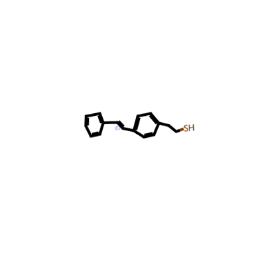 SCCc1ccc(/C=C/c2ccccc2)cc1